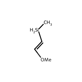 COC=C[SiH2]C